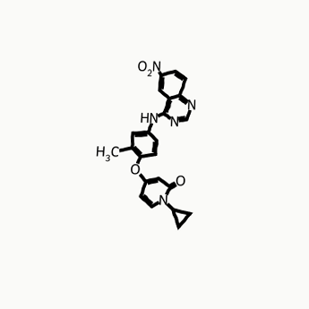 Cc1cc(Nc2ncnc3ccc([N+](=O)[O-])cc23)ccc1Oc1ccn(C2CC2)c(=O)c1